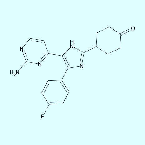 Nc1nccc(-c2[nH]c(C3CCC(=O)CC3)nc2-c2ccc(F)cc2)n1